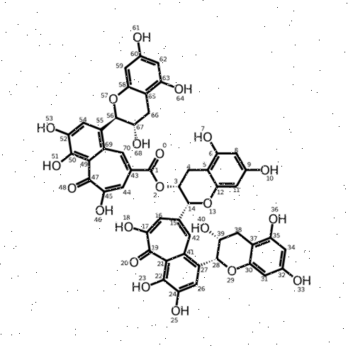 O=C(O[C@@H]1Cc2c(O)cc(O)cc2O[C@@H]1c1cc(O)c(=O)c2c(O)c(O)cc([C@H]3Oc4cc(O)cc(O)c4C[C@H]3O)c2c1)c1cc(O)c(=O)c2c(O)c(O)cc([C@H]3Oc4cc(O)cc(O)c4C[C@@H]3O)c2c1